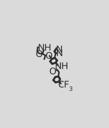 CC(Oc1ccc(NC(=O)Cc2cccc(C(F)(F)F)c2)cc1-c1ccnn1C)C1CNCCO1